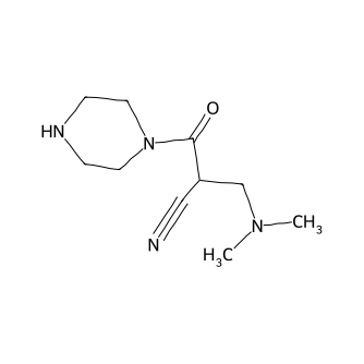 CN(C)CC(C#N)C(=O)N1CCNCC1